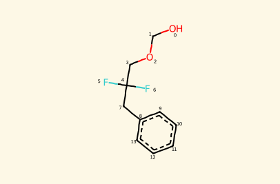 OCOCC(F)(F)Cc1ccccc1